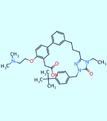 CCn1c(CCCc2cccc(-c3ccc(OCCN(C)C)c(CC(=O)O)c3)c2)nn(Cc2ccc(C(C)(C)C)cc2)c1=O